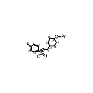 Cc1ccc(S(=O)(=O)OCC2CCC(OC(C)C)CC2)cc1